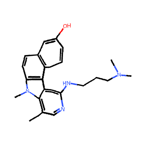 Cc1cnc(NCCCN(C)C)c2c3c4ccc(O)cc4ccc3n(C)c12